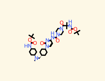 CN(C[C@H]1CC[C@H](n2ccc(NC(=O)N3CCN(C(=O)C(C)(C)NC(=O)OC(C)(C)C)CC3)nc2=O)CC1)[C@H]1CC[C@H](NC(=O)OC(C)(C)C)CC1